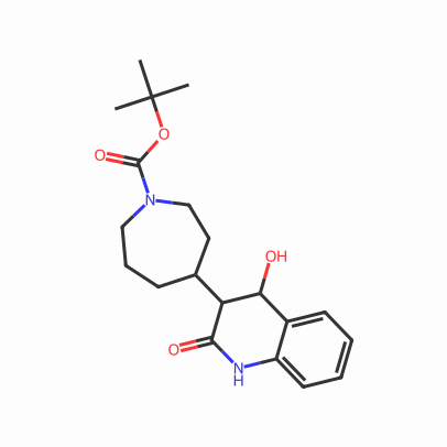 CC(C)(C)OC(=O)N1CCCC(C2C(=O)Nc3ccccc3C2O)CC1